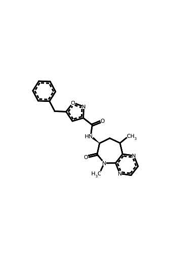 CC1C[C@H](NC(=O)c2cc(Cc3ccccc3)on2)C(=O)N(C)c2nccnc21